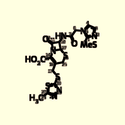 CSc1nccn1CC(=O)NC1C(=O)N2C(C(=O)O)=C(CSc3nnc(C)s3)CSC12